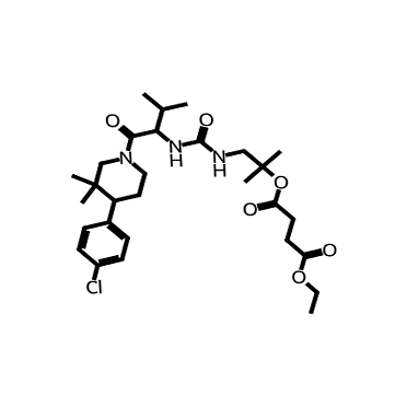 CCOC(=O)CCC(=O)OC(C)(C)CNC(=O)NC(C(=O)N1CCC(c2ccc(Cl)cc2)C(C)(C)C1)C(C)C